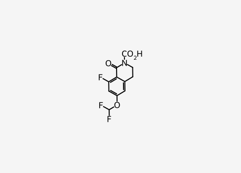 O=C(O)N1CCc2cc(OC(F)F)cc(F)c2C1=O